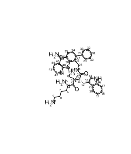 CN(C(=O)[C@@H](N)CCCCN)[C@@H](Cc1c[nH]c2ccccc12)C(=O)NCc1c(-c2ccccc2)ccc(Cl)c1Sc1ncccc1CN